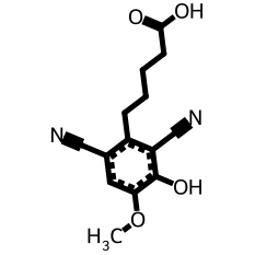 COc1cc(C#N)c(CCCCC(=O)O)c(C#N)c1O